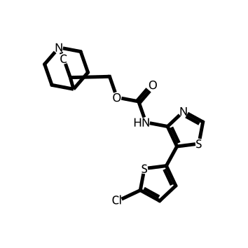 O=C(Nc1ncsc1-c1ccc(Cl)s1)OCC1CN2CCC1CC2